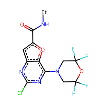 CCNC(=O)c1cc2nc(Cl)nc(N3CC(F)(F)OC(F)(F)C3)c2o1